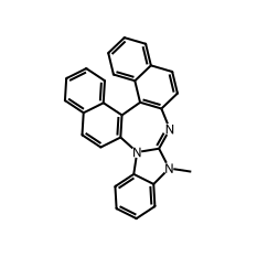 CN1C2=Nc3ccc4ccccc4c3-c3c(ccc4ccccc34)N2c2ccccc21